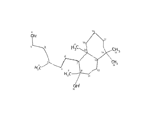 CC(CCO)CCC1C(C)(O)CCC2C(C)(C)CCCC21C